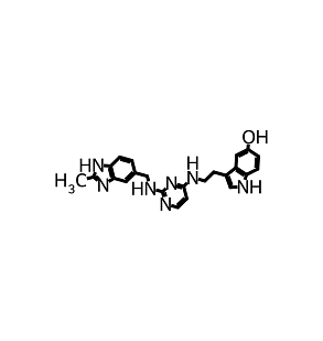 Cc1nc2cc(CNc3nccc(NCCc4c[nH]c5ccc(O)cc45)n3)ccc2[nH]1